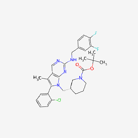 Cc1c(-c2ccccc2Cl)n(C[C@H]2CCCN(C(=O)OC(C)(C)C)C2)c2nc(NCc3ccc(F)c(F)c3)ncc12